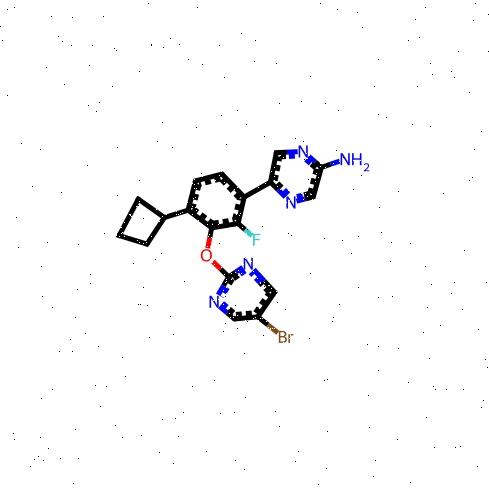 Nc1cnc(-c2ccc(C3CCC3)c(Oc3ncc(Br)cn3)c2F)cn1